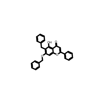 O=c1cc(-c2ccccc2)oc2cc(OCc3ccccc3)c(Cc3ccccc3)c(O)c12